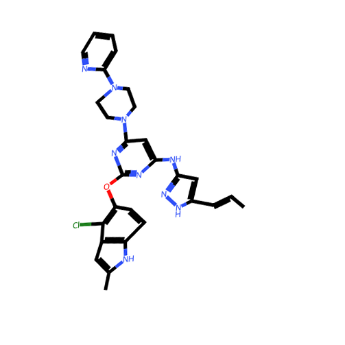 C/C=C/c1cc(Nc2cc(N3CCN(c4ccccn4)CC3)nc(Oc3ccc4[nH]c(C)cc4c3Cl)n2)n[nH]1